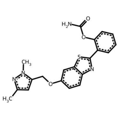 Cc1cc(COc2ccc3nc(-c4ccccc4OC(N)=O)sc3c2)n(C)n1